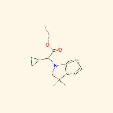 CCOC(=O)C(C1CC1)N1CC(C)(C)c2ccccc21